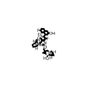 CCc1c(F)ccc2cc(O)cc(-c3nc4c5c(nc(OCC6(CN7C[C@@H]8C[C@@H]8[C@H]7CO)CC6)nc5c3F)N3C[C@H]5CC[C@H](N5)[C@@H]3CO4)c12